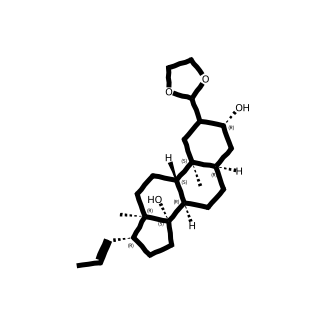 CC=C[C@H]1CC[C@]2(O)[C@@H]3CC[C@@H]4C[C@@H](O)C(C5OCCO5)C[C@]4(C)[C@H]3CC[C@]12C